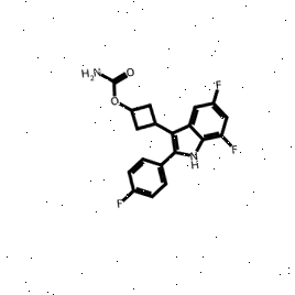 NC(=O)OC1CC(c2c(-c3ccc(F)cc3)[nH]c3c(F)cc(F)cc23)C1